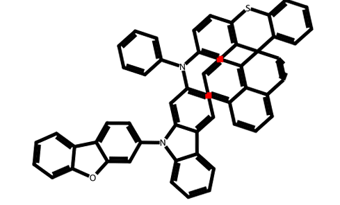 c1ccc(N(c2ccc3c(c2)C2(c4ccccc4S3)c3ccccc3-c3cccc4cccc2c34)c2ccc3c4ccccc4n(-c4ccc5c(c4)oc4ccccc45)c3c2)cc1